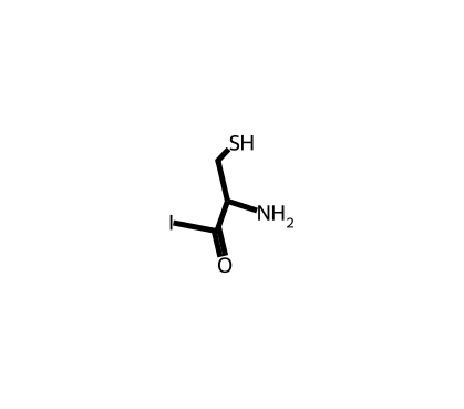 NC(CS)C(=O)I